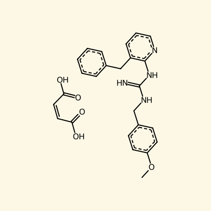 COc1ccc(CNC(=N)Nc2ncccc2Cc2ccccc2)cc1.O=C(O)/C=C\C(=O)O